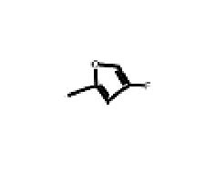 [CH2]c1cc(F)co1